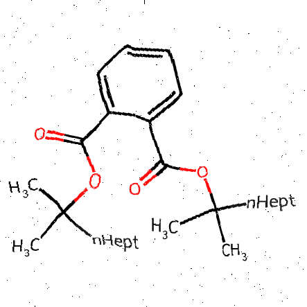 CCCCCCCC(C)(C)OC(=O)c1ccccc1C(=O)OC(C)(C)CCCCCCC